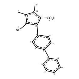 Cc1c(C#N)c(-c2ccc(-c3ccccc3)cc2)c(C(=O)O)n1C